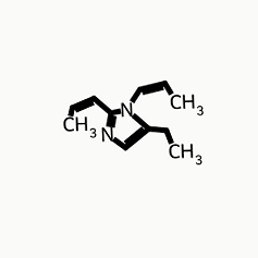 C/C=C\c1ncc(CC)n1/C=C\C